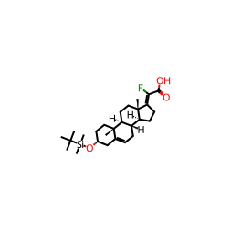 CC(C)(C)[Si](C)(C)O[C@H]1CC[C@@]2(C)C(=CC[C@@H]3[C@@H]2CC[C@]2(C)C(=C(F)C(=O)O)CC[C@@H]32)C1